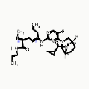 CCCNC(=O)/C(C/C=C(\CCC)Nc1ncc(F)c(N2C[C@@H]3CC[C@H](C2)N(C(=O)C2CC2)C3)n1)=N/C